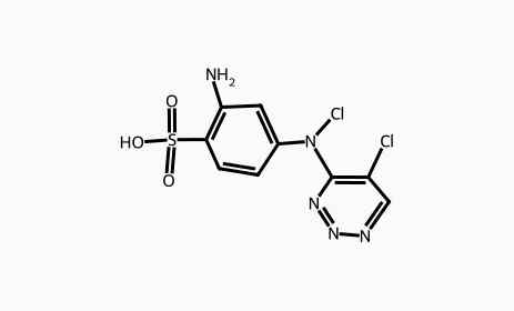 Nc1cc(N(Cl)c2nnncc2Cl)ccc1S(=O)(=O)O